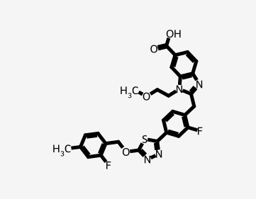 COCCn1c(Cc2ccc(-c3nnc(OCc4ccc(C)cc4F)s3)cc2F)nc2ccc(C(=O)O)cc21